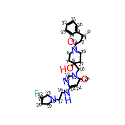 C[C@H](CC(=O)N1CCC(O)(Cn2cnc(NCCN3CC[C@H](F)C3)cc2=O)CC1)c1ccccc1